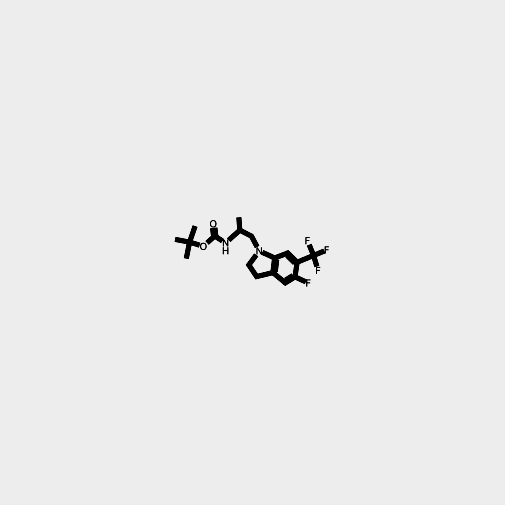 CC(CN1CCc2cc(F)c(C(F)(F)F)cc21)NC(=O)OC(C)(C)C